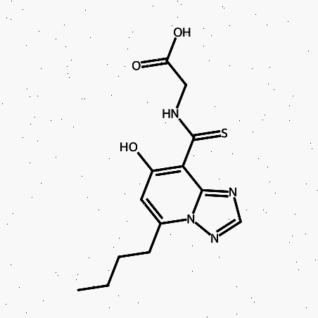 CCCCc1cc(O)c(C(=S)NCC(=O)O)c2ncnn12